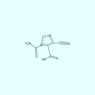 N#Cc1ncn(C(N)=O)c1C(=O)O